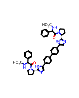 O=C(O)NC(C(=O)N1CCC[C@@H]1c1ncc(-c2ccc(-c3ccc(-c4cnc([C@@H]5CCCN5C(=O)C(NC(=O)O)c5ccccc5)[nH]4)cc3)cc2)[nH]1)c1ccccc1